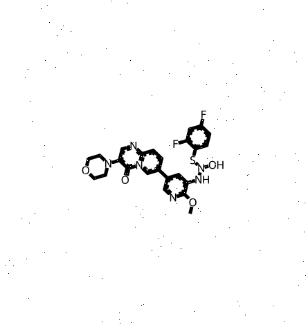 COc1ncc(-c2ccc3ncc(N4CCOCC4)c(=O)n3c2)cc1NN(O)Sc1ccc(F)cc1F